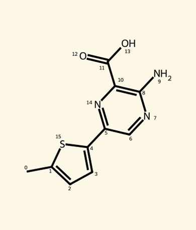 Cc1ccc(-c2cnc(N)c(C(=O)O)n2)s1